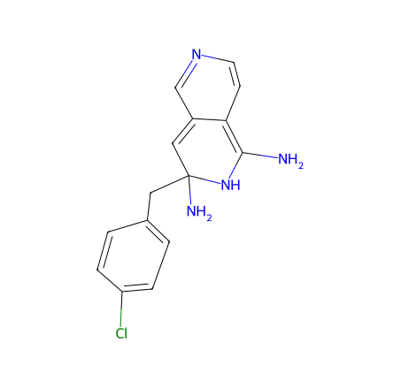 NC1=c2ccncc2=CC(N)(Cc2ccc(Cl)cc2)N1